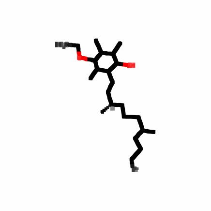 CC(C)CCCC(C)CCC[C@H](C)CCC1C(C)C(OCC(=O)O)C(C)C(C)C1O